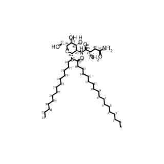 CCCCCCCCCCCCCCCCCC(=O)N(CCCCCCCCCCCCCC)[C@@H]1O[C@H](CO)[C@@H](O)[C@H](O)[C@H]1NC(=O)[C@@H](N)CC(N)=O